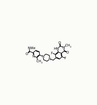 CNC(=O)c1ccc(N2CCN(Cc3cc(F)c4c(=O)n(C)c(=O)[nH]c4c3F)CC2)c(C)n1